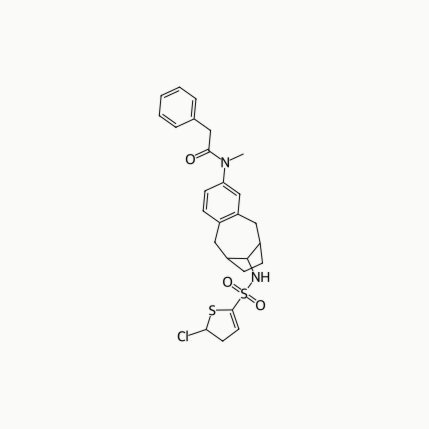 CN(C(=O)Cc1ccccc1)c1ccc2c(c1)CC1CCC(C2)C1NS(=O)(=O)C1=CCC(Cl)S1